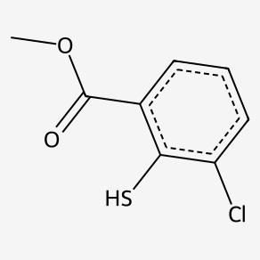 COC(=O)c1cccc(Cl)c1S